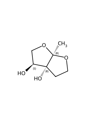 C[C@]12OCC[C@@]1(O)[C@@H](O)CO2